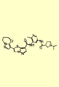 Cc1ncc(NC(=O)C2CCN(C(C)C)C2)cc1NC(=O)c1cnn2cc(-c3cnn4c3OCCC4)sc12